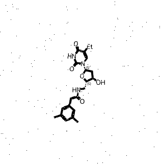 CCc1cn([C@@H]2CC(O)[C@H](CNC(=O)Cc3cc(C)cc(C)c3)O2)c(=O)[nH]c1=O